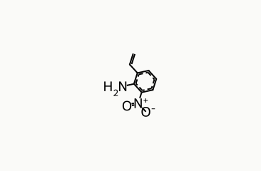 C=Cc1cccc([N+](=O)[O-])c1N